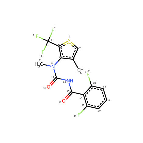 Cc1csc(C(F)(F)F)c1N(C)C(=O)NC(=O)c1c(F)cccc1F